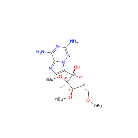 CCCCOC[C@H]1O[C@@](O)(c2cnc3c(N)nc(N)nn23)[C@](C)(OCCCC)[C@@H]1OCCCC